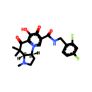 CN1CC[C@H]2[C@@H]1C(C)(C)C(=O)c1c(O)c(=O)c(C(=O)NCc3ccc(F)cc3F)cn12